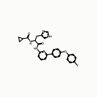 O=C(NC(Cc1c[nH]cn1)C(=O)Nc1cccc(-c2ccc(Oc3ccc(F)cc3)cc2)n1)C1CC1